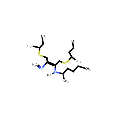 C=N/C(CSC(C)CC)=C(/CSC(C)CCC)N(C)[C@H](C)CCCC